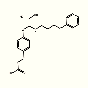 Cl.O=C(O)COc1ccc(OC(CO)NCCCOc2ccccc2)cc1